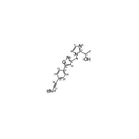 CC(O)c1nccn1Cc1cc(-c2ccc(C#CC(C)(C)C)cc2)on1